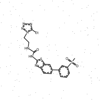 CCc1nnnn1CCNC(=O)Nc1nc2ccc(-c3cccc(S(C)(=O)=O)c3)cc2s1